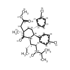 CC[C@@H](C[S+]([O-])C(C)C)N1C(=O)[C@@](C)(CC(=O)OC)C[C@H](c2cccc(Cl)c2)[C@H]1c1ccc(Cl)cc1